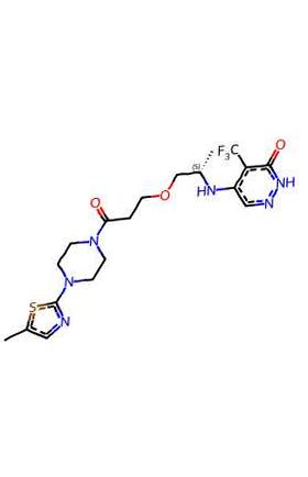 Cc1cnc(N2CCN(C(=O)CCOC[C@H](C)Nc3cn[nH]c(=O)c3C(F)(F)F)CC2)s1